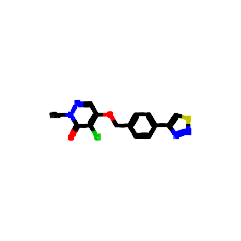 CC(C)(C)n1ncc(OCc2ccc(-c3csnn3)cc2)c(Cl)c1=O